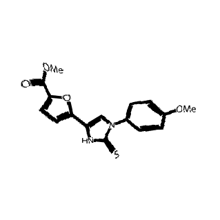 COC(=O)c1ccc(-c2cn(-c3ccc(OC)cc3)c(=S)[nH]2)o1